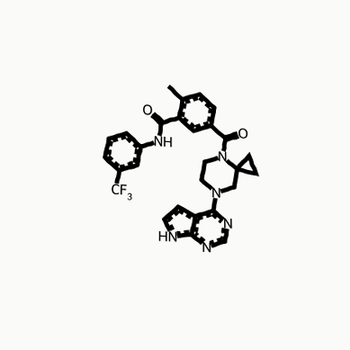 Cc1ccc(C(=O)N2CCN(c3ncnc4[nH]ccc34)CC23CC3)cc1C(=O)Nc1cccc(C(F)(F)F)c1